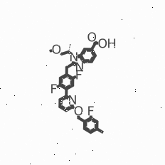 COC[C@H](C)n1c(Cc2cc(F)c(-c3cccc(OCc4ccc(C)cc4F)n3)cc2F)nc2ccc(C(=O)O)cc21